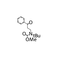 COC(=O)N(CCC(=O)c1ccccc1)C(C)(C)C